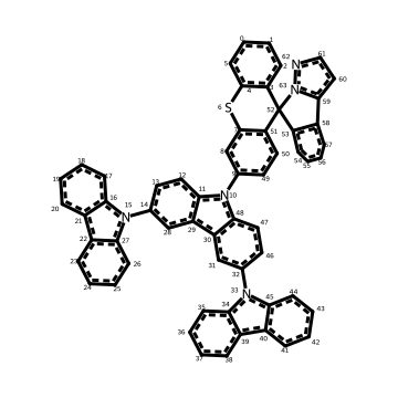 c1ccc2c(c1)Sc1cc(-n3c4ccc(-n5c6ccccc6c6ccccc65)cc4c4cc(-n5c6ccccc6c6ccccc65)ccc43)ccc1C21c2ccccc2-c2ccnn21